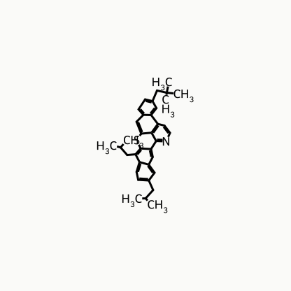 CC(C)Cc1ccc2c(CC(C)C)c3c(cc2c1)-c1nccc2c1c(cc1ccc(CC(C)(C)C)cc12)S3